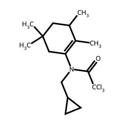 CC1=C(N(CC2CC2)C(=O)C(Cl)(Cl)Cl)CC(C)(C)CC1C